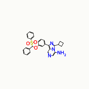 Nc1cncc2c(-c3cccc(OC(c4ccccc4)S(=O)(=O)c4ccccc4)c3)nc(C3CCC3)n12